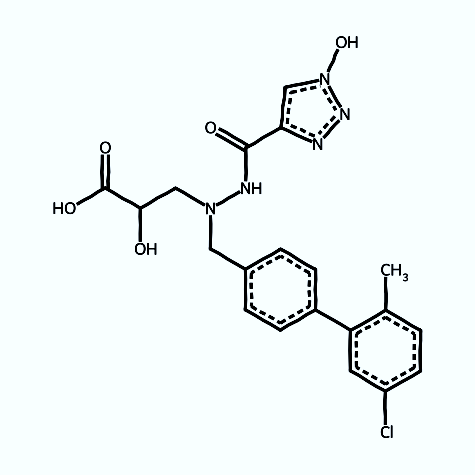 Cc1ccc(Cl)cc1-c1ccc(CN(CC(O)C(=O)O)NC(=O)c2cn(O)nn2)cc1